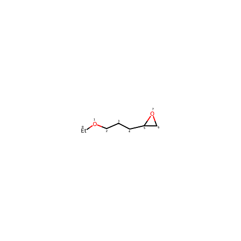 [CH2]COCCCC1CO1